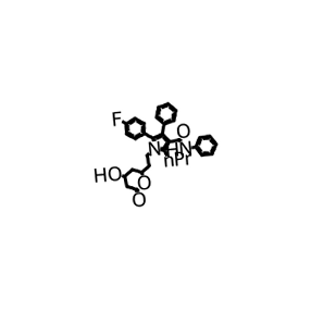 CCCc1c(C(=O)Nc2ccccc2)c(-c2ccccc2)c(-c2ccc(F)cc2)n1CCC1CC(O)CC(=O)O1